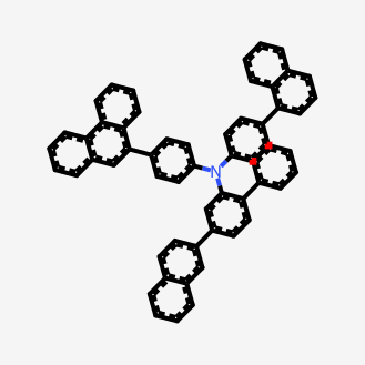 c1ccc(-c2ccc(-c3ccc4ccccc4c3)cc2N(c2ccc(-c3cccc4ccccc34)cc2)c2ccc(-c3cc4ccccc4c4ccccc34)cc2)cc1